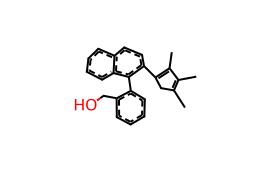 CC1=C(C)C(C)=C(c2ccc3ccccc3c2-c2ccccc2CO)C1